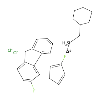 FC1=CCC=C1.Fc1ccc2c(c1)-c1ccccc1C2.[Cl-].[Cl-].[Zr+2][SiH2]CC1CCCCC1